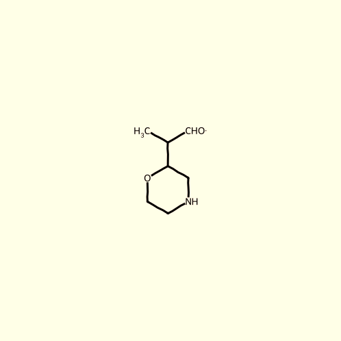 CC([C]=O)C1CNCCO1